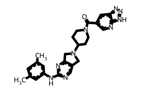 Cc1cc(C)cc(Nc2ncc3c(n2)CN(C2CCN(C(=O)c4cnc5[nH]nnc5c4)CC2)C3)c1